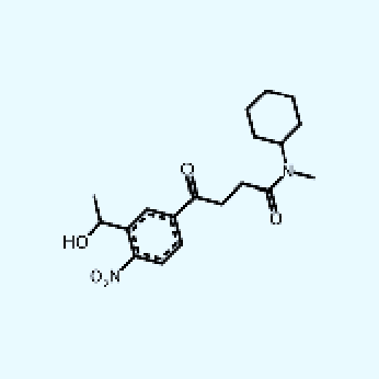 CC(O)c1cc(C(=O)CCC(=O)N(C)C2CCCCC2)ccc1[N+](=O)[O-]